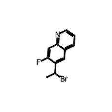 CC(Br)c1cc2cccnc2cc1F